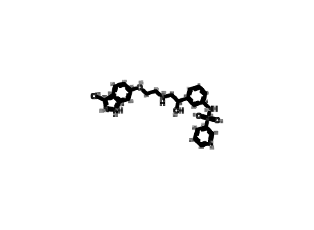 O=S(=O)(Nc1cccc(C(O)CNCCOc2ccc3c(Cl)n[nH]c3c2)c1)c1cccnc1